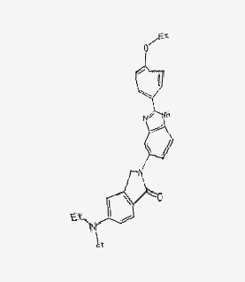 CCOc1ccc(-c2nc3cc(N4Cc5cc(N(CC)CC)ccc5C4=O)ccc3[nH]2)cc1